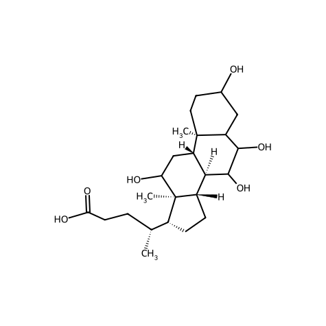 C[C@H](CCC(=O)O)[C@H]1CC[C@H]2[C@@H]3C(O)C(O)C4CC(O)CC[C@]4(C)[C@H]3CC(O)[C@]12C